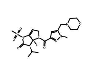 CC(C)[C@H]1C(=O)N(S(C)(=O)=O)C2=CCN(C(=O)c3cc(CN4CCOCC4)n(C)n3)[C@@H]21